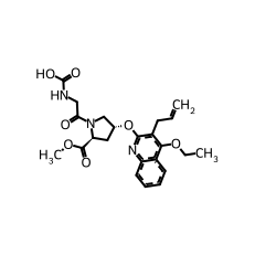 C=CCc1c(O[C@@H]2C[C@@H](C(=O)OC)N(C(=O)CNC(=O)O)C2)nc2ccccc2c1OCC